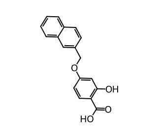 O=C(O)c1ccc(OCc2ccc3ccccc3c2)cc1O